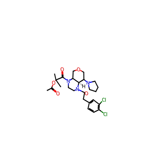 CC(=O)OC(C)(C)C(=O)N1CCN(C(=O)Cc2ccc(Cl)c(Cl)c2)[C@@H]2C(N3CCCC3)COCC21